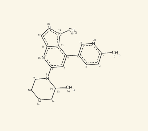 Cc1ccc(-c2cc(N3CCOC[C@H]3C)nc3cnn(C)c23)cn1